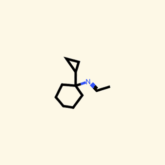 CC=NC1(C2CC2)CCCCC1